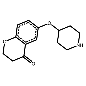 O=C1CCOc2ccc(OC3CCNCC3)cc21